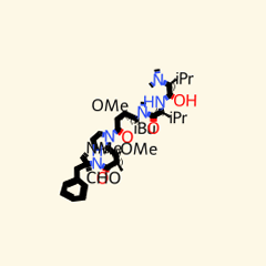 CCC(C)[C@@H]([C@@H](CC(=O)N1CCC[C@H]1[C@H](OC)[C@@H](C)C(=O)NC(C=O)(CNC)Cc1ccccc1)OC)N(C)C(=O)[C@@H](NC(O)[C@H](C(C)C)N(C)C)C(C)C